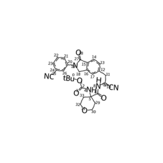 CC(C)(C)OC(=O)NC1(C(=O)N[C@H](C#N)Cc2ccc3c(c2)CN(c2cccc(C#N)c2)C3=O)CCOCC1